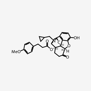 COc1ccc(CCC(=O)O[C@@]23CCC(=O)[C@@H]4Oc5c(O)ccc6c5[C@@]42CCN(CC2CC2)C3C6)cc1